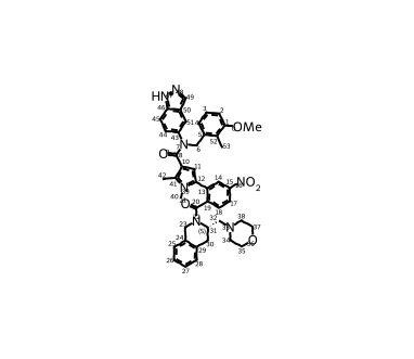 COc1cccc(CN(C(=O)c2cc(-c3cc([N+](=O)[O-])ccc3C(=O)N3Cc4ccccc4C[C@H]3CN3CCOCC3)n(C)c2C)c2ccc3[nH]ncc3c2)c1C